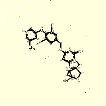 O=c1nc(OCc2cc(F)c(Oc3cncc(C(F)(F)F)c3)c(F)c2)cc2n1C[C@]13CO[C@H](CN21)C3